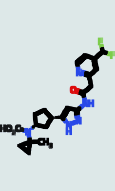 CC1(N(C(=O)O)[C@@H]2CC[C@H](c3cc(NC(=O)Cc4cc(C(F)F)ccn4)n[nH]3)C2)CC1